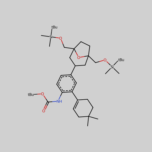 CC1(C)CC=C(c2cc(C3CC4(CO[Si](C)(C)C(C)(C)C)CCC(CO[Si](C)(C)C(C)(C)C)(C3)O4)ccc2NC(=O)OC(C)(C)C)CC1